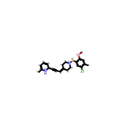 COc1cc(C)c(Cl)cc1SN1CCC(=CC#CC2C=CC=C(C)N2)CC1